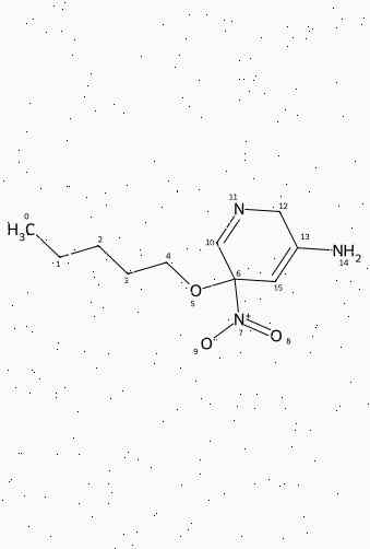 CCCCCOC1([N+](=O)[O-])C=NCC(N)=C1